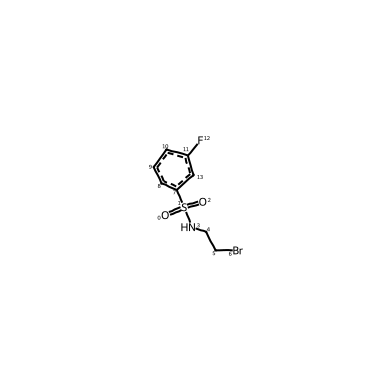 O=S(=O)(NCCBr)c1cccc(F)c1